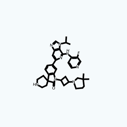 CC(C)n1cnc2cc(-c3ccc4c(c3)N(C3CC(N5CCCC(C)(C)C5)C3)C(=O)C43CCNCC3)nc(Nc3ccncc3F)c21